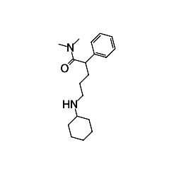 CN(C)C(=O)C(CCCNC1CCCCC1)c1ccccc1